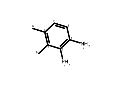 Cc1ccc(N)c(P)c1C